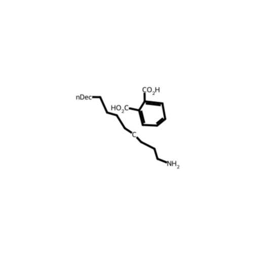 CCCCCCCCCCCCCCCCCCN.O=C(O)c1ccccc1C(=O)O